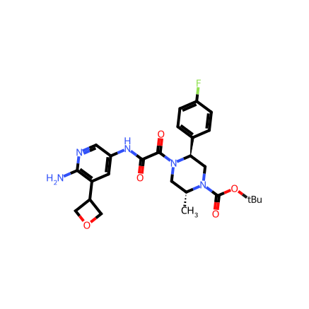 C[C@@H]1CN(C(=O)C(=O)Nc2cnc(N)c(C3COC3)c2)[C@@H](c2ccc(F)cc2)CN1C(=O)OC(C)(C)C